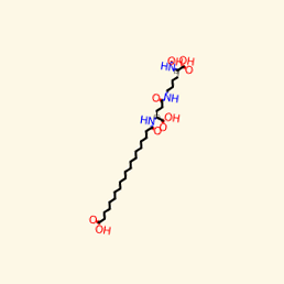 O=C(O)CCCCCCCCCCCCCCCCCCC(=O)N[C@@H](CCC(=O)NCCCC[C@H](NO)C(=O)O)C(=O)O